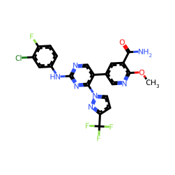 COc1ncc(-c2cnc(Nc3ccc(F)c(Cl)c3)nc2-n2ccc(C(F)(F)F)n2)cc1C(N)=O